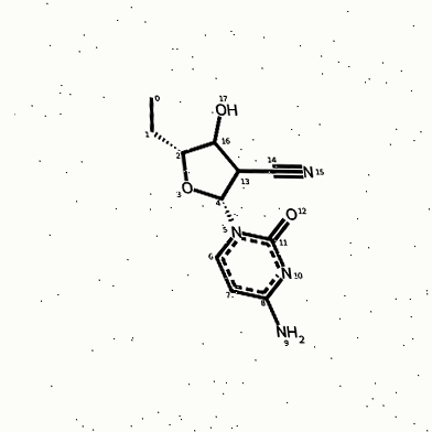 CC[C@H]1O[C@@H](n2ccc(N)nc2=O)C(C#N)C1O